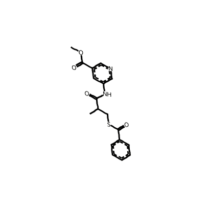 COC(=O)c1cncc(NC(=O)C(C)CSC(=O)c2ccccc2)c1